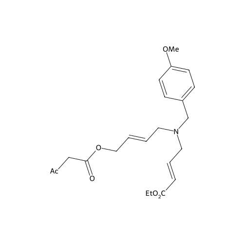 CCOC(=O)C=CCN(CC=CCOC(=O)CC(C)=O)Cc1ccc(OC)cc1